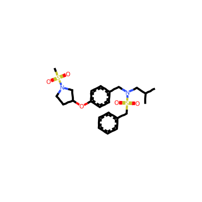 CC(C)CN(Cc1ccc(OC2CCN(S(C)(=O)=O)C2)cc1)S(=O)(=O)Cc1ccccc1